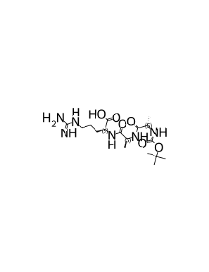 C[C@H](NC(=O)OC(C)(C)C)C(=O)N[C@@H](C)C(=O)N[C@@H](CCCNC(=N)N)C(=O)O